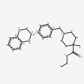 CCOC(=O)C1(C)CCN(Cc2ccc([C@H]3COc4ccccc4O3)cc2)CC1